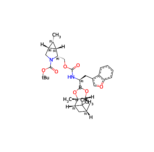 C[C@H]1[C@H]2CN(C(=O)OC(C)(C)C)[C@@H](COC(=O)N[C@@H](Cc3coc4ccccc34)B3O[C@@H]4C[C@@H]5C[C@@H](C5(C)C)[C@]4(C)O3)[C@@H]12